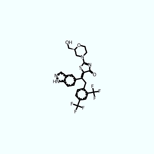 O=C1N=C(N2CCO[C@H](CO)C2)SC1=C(Cc1ccc(C(F)(F)F)cc1C(F)(F)F)c1ccc2[nH]ncc2c1